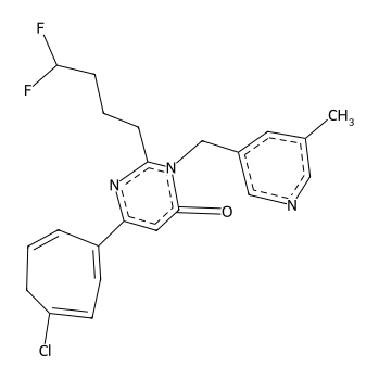 Cc1cncc(Cn2c(CCCC(F)F)nc(C3=CC=C(Cl)CC=C3)cc2=O)c1